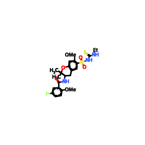 CCNC(=S)NS(=O)(=O)c1cc2c(cc1OC)OC(C)(C)C(NC(=O)c1cc(F)ccc1OC)C2